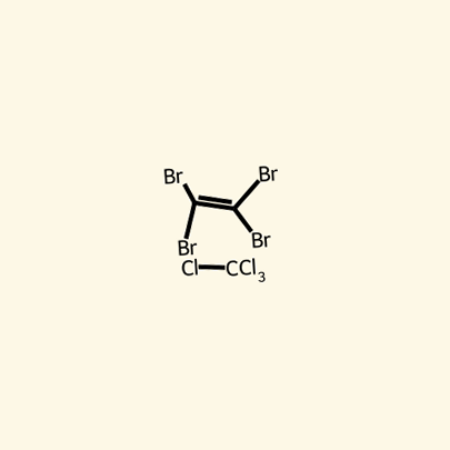 BrC(Br)=C(Br)Br.ClC(Cl)(Cl)Cl